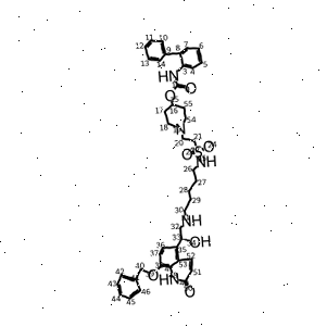 O=C(Nc1ccccc1-c1ccccc1)OC1CCN(CCS(=O)(=O)NCCCCCNC[C@@H](O)c2ccc(OCc3ccccc3)c3[nH]c(=O)ccc23)CC1